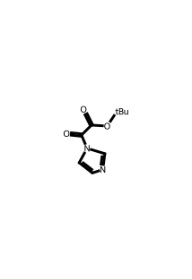 CC(C)(C)OC(=O)C(=O)n1ccnc1